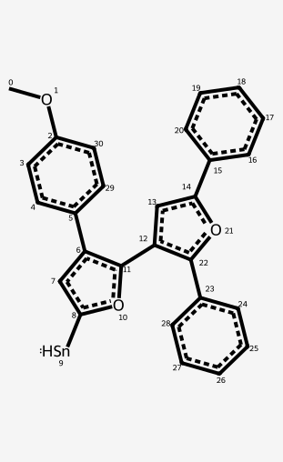 COc1ccc(-c2c[c]([SnH])oc2-c2cc(-c3ccccc3)oc2-c2ccccc2)cc1